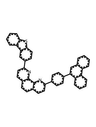 c1ccc2c(c1)cc(-c1ccc(-c3ccc4ccc5ccc(-c6ccc7sc8ccccc8c7c6)nc5c4n3)cc1)c1ccccc12